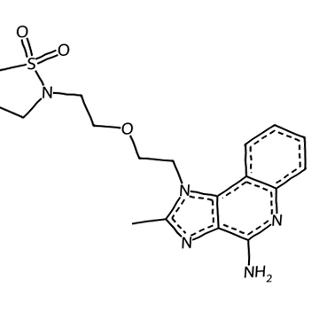 Cc1nc2c(N)nc3ccccc3c2n1CCOCCN1CCCS1(=O)=O